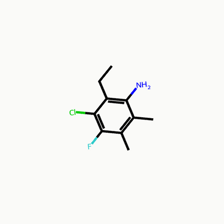 CCc1c(N)c(C)c(C)c(F)c1Cl